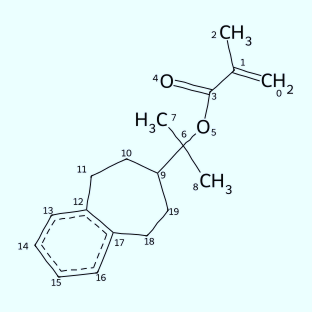 C=C(C)C(=O)OC(C)(C)C1CCc2ccccc2CC1